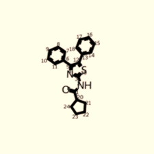 O=C(Nc1nc(-c2ccccc2)c(-c2ccccc2)s1)C1CCCC1